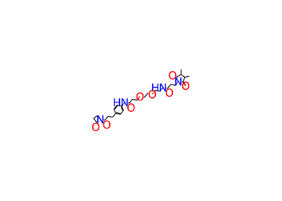 CC1C(=O)N(CCC(=O)NCCOCCOCCC(=O)Nc2ccc(CCC(=O)N3CCC3=O)cc2)C(=O)C1C